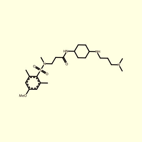 COc1cc(C)c(S(=O)(=O)N(C)CCC(=O)NC2CCC(NCCCN(C)C)CC2)c(C)c1